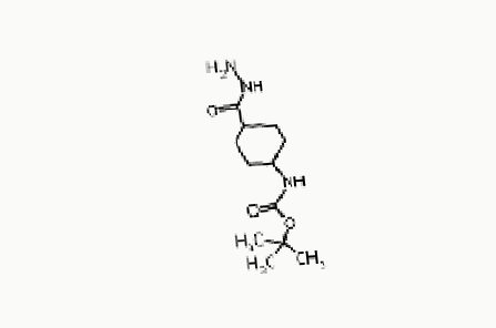 CC(C)(C)OC(=O)NC1CCC(C(=O)NN)CC1